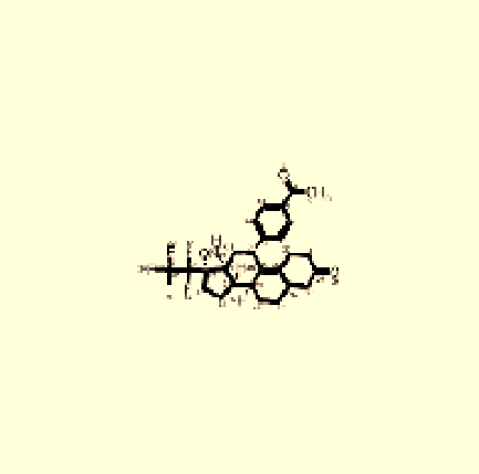 CC(=O)c1ccc([C@@H]2C[C@@]3(C)[C@@H](CC[C@@]3(O)C(F)(F)C(F)(F)F)[C@@H]3CCC4=CC(=O)CCC4=C23)cc1